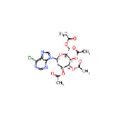 CC(=O)OC[C@H]1O[C@H](n2cnc3c(Cl)ncnc32)C[C@H](OC(C)=O)[C@H](OC(C)=O)[C@@H]1OC(C)=O